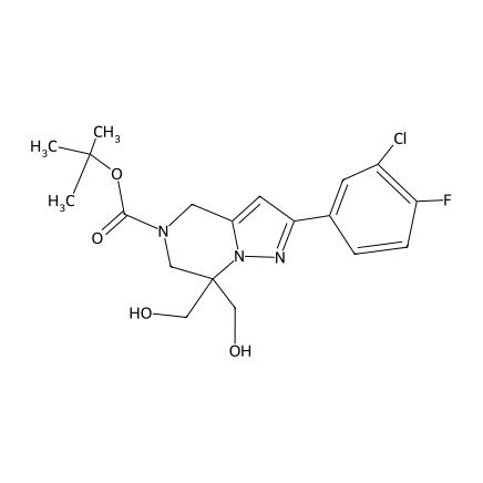 CC(C)(C)OC(=O)N1Cc2cc(-c3ccc(F)c(Cl)c3)nn2C(CO)(CO)C1